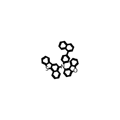 c1ccc2c(-c3ccc(N(c4cc5c6ccccc6sc5c5ccccc45)c4cccc5oc6ccccc6c45)cc3)cccc2c1